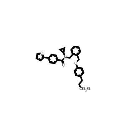 CCOC(=O)CCc1ccc(OCc2ccccc2CN(C(=O)c2ccc(-c3ccco3)cc2)C2CC2)cc1